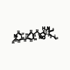 C=C/C=C(\C(=C)N)c1cc(Cc2ccc(Cc3ccnc(C)c3)cc2)no1